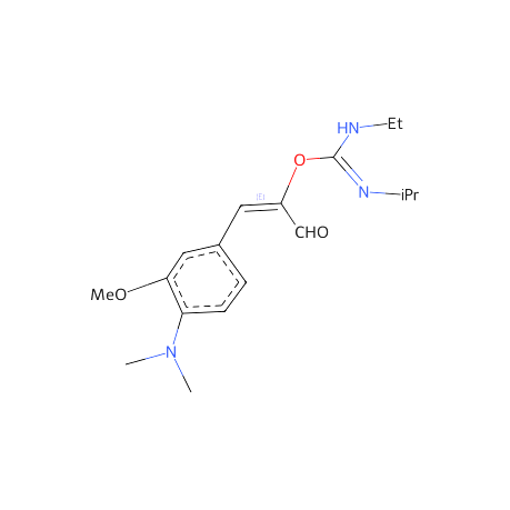 CCNC(=NC(C)C)O/C(C=O)=C/c1ccc(N(C)C)c(OC)c1